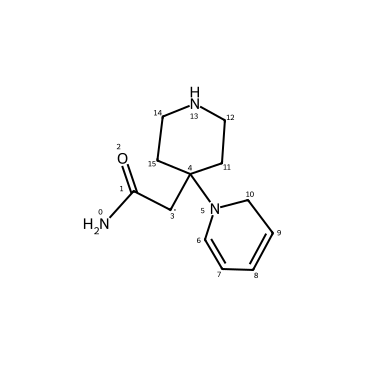 NC(=O)[CH]C1(N2C=CC=CC2)CCNCC1